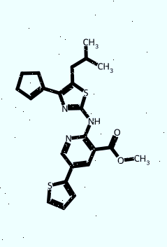 COC(=O)c1cc(-c2cccs2)cnc1Nc1nc(C2=CCCC2)c(CC(C)C)s1